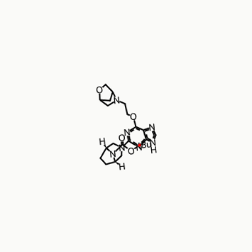 CC(C)(C)OC(=O)N1[C@@H]2CC[C@H]1CN(c1nc(OCCN3CC4CC3CO4)c3nc[nH]c3n1)C2